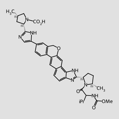 COC(=O)NC(C(=O)N1[C@@H](C)CC[C@H]1c1nc2ccc3cc4c(cc3c2[nH]1)OCc1cc(-c2cnc([C@@H]3C[C@H](C)CN3C(=O)O)[nH]2)ccc1-4)C(C)C